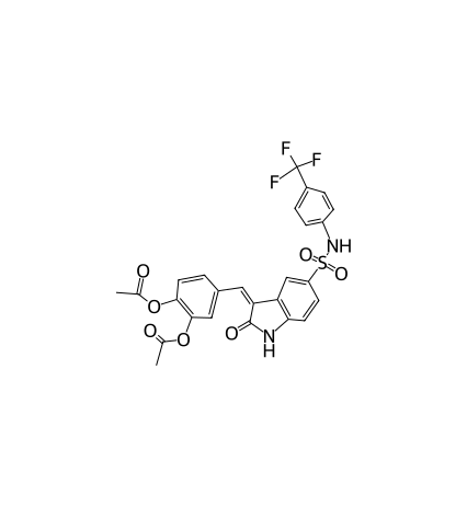 CC(=O)Oc1ccc(C=C2C(=O)Nc3ccc(S(=O)(=O)Nc4ccc(C(F)(F)F)cc4)cc32)cc1OC(C)=O